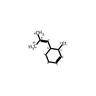 CCC1C=CCCC1C=C(C)C